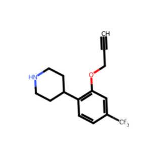 C#CCOc1cc(C(F)(F)F)ccc1C1CCNCC1